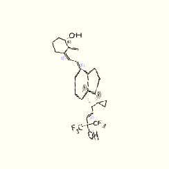 C=C1/C(=C\C=C2/CCC[C@@]3(C)C2CC[C@@H]3C2(C/C=C/C(O)(C(F)(F)F)C(F)(F)F)CC2)CCC[C@@H]1O